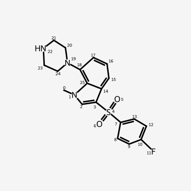 Cn1cc(S(=O)(=O)c2ccc(F)cc2)c2cccc(N3CCNCC3)c21